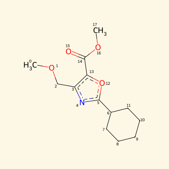 COCc1nc(C2CCCCC2)oc1C(=O)OC